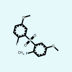 C.COc1ccc(F)c(S(=O)(=O)c2cc(OC)ccc2F)c1